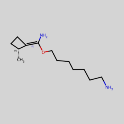 C[C@@H]1CC/C1=C(\N)OCCCCCCCN